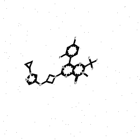 Cn1c(C(F)(F)F)nc2c(-c3ccc(F)cc3F)nc(N3CC(Oc4cnn(C5CC5)c4)C3)nc2c1=O